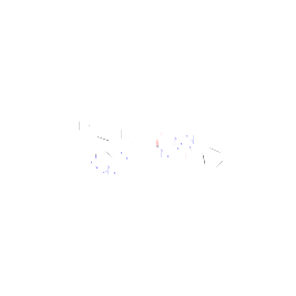 Cc1sc2ncnc(N3CCC(C(=O)Nc4nnc(-c5ccccc5)o4)CC3)c2c1C